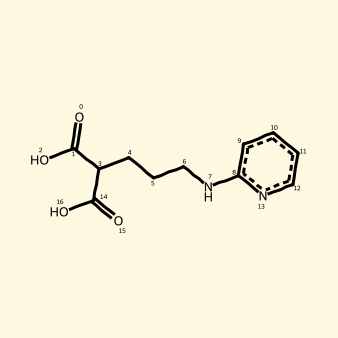 O=C(O)C(CCCNc1ccccn1)C(=O)O